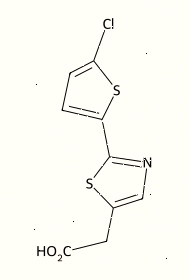 O=C(O)Cc1cnc(-c2ccc(Cl)s2)s1